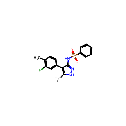 Cc1ccc(-c2c(NS(=O)(=O)c3ccccc3)n[nH]c2C(F)(F)F)cc1F